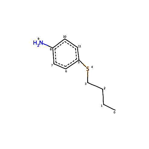 CC[CH]CSc1ccc(N)cc1